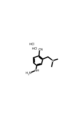 CN(C)Cc1cc(NN)ccc1C#N.Cl.Cl